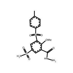 COc1c(C(=O)NN)cc(S(N)(=O)=O)cc1S(=O)(=O)c1ccc(C)cc1